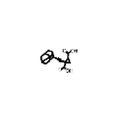 O=C(O)C1CC1(C#CC1C2CC3CC(C2)CC1C3)C(=O)O